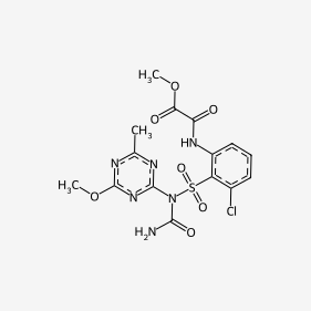 COC(=O)C(=O)Nc1cccc(Cl)c1S(=O)(=O)N(C(N)=O)c1nc(C)nc(OC)n1